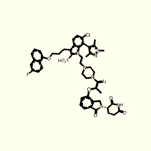 Cc1nn(C)c(C)c1-c1c(Cl)ccc2c(CCCOc3cccc4cc(F)ccc34)c(C(=O)O)n(CCN3CCN(C(=O)C(C)Oc4cccc5c4CN([C@H]4CCC(=O)NC4=O)C5=O)CC3)c12